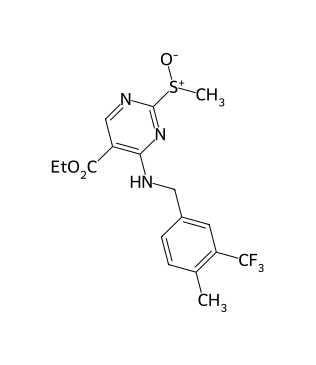 CCOC(=O)c1cnc([S+](C)[O-])nc1NCc1ccc(C)c(C(F)(F)F)c1